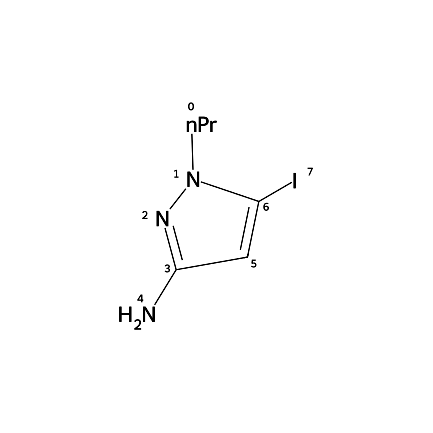 CCCn1nc(N)cc1I